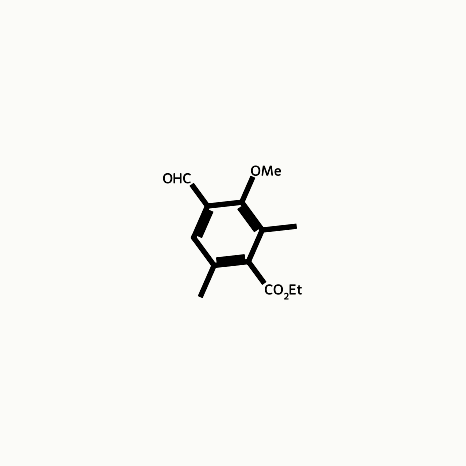 CCOC(=O)c1c(C)cc(C=O)c(OC)c1C